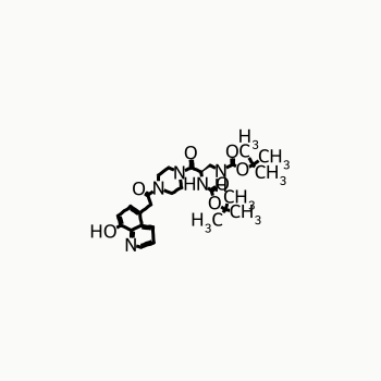 CC(C)(C)OC(=O)NC[C@@H](NC(=O)OC(C)(C)C)C(=O)N1CCN(C(=O)Cc2ccc(O)c3ncccc23)CC1